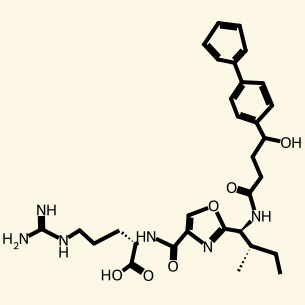 CC[C@H](C)[C@H](NC(=O)CCC(O)c1ccc(-c2ccccc2)cc1)c1nc(C(=O)N[C@@H](CCCNC(=N)N)C(=O)O)co1